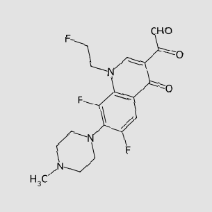 CN1CCN(c2c(F)cc3c(=O)c(C(=O)C=O)cn(CCF)c3c2F)CC1